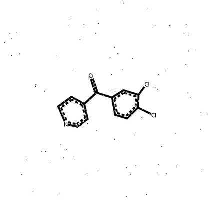 O=C(c1ccncc1)c1ccc(Cl)c(Cl)c1